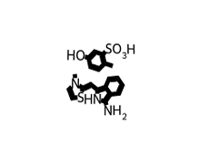 CN1C=CSC1=Cc1[nH]c(N)c2ccccc12.Cc1ccc(O)cc1S(=O)(=O)O